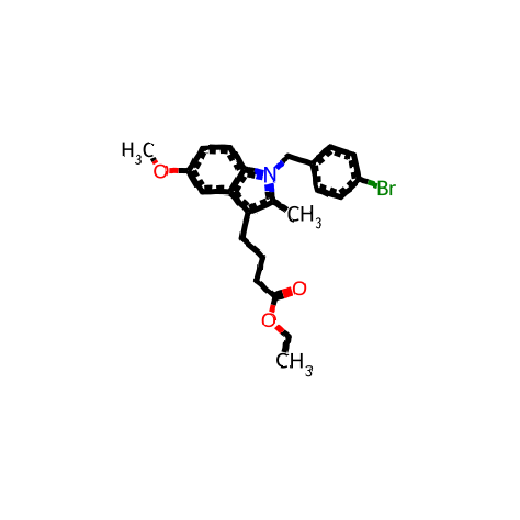 CCOC(=O)CCCc1c(C)n(Cc2ccc(Br)cc2)c2ccc(OC)cc12